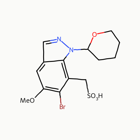 COc1cc2cnn(C3CCCCO3)c2c(CS(=O)(=O)O)c1Br